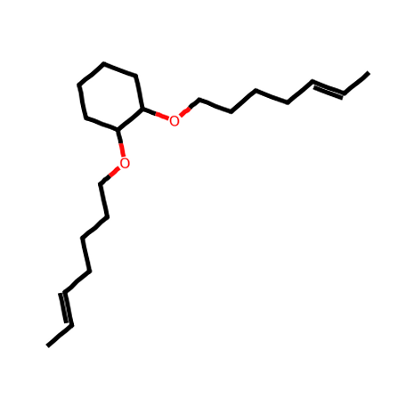 CC=CCCCCOC1CCCCC1OCCCCC=CC